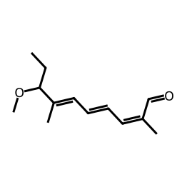 CCC(OC)C(C)=CC=CC=C(C)C=O